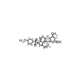 Cc1ccc(S(=O)(=O)n2cc(C(C)C)c3nc(Cc4c(C)cc(O)cc4C)cnc32)cc1